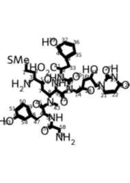 CSCC[C@H](N)C(=O)CC(C(N)C(=O)N(/C=C1\CC(O)C(n2ccc(=O)[nH]c2=O)O1)C(=O)NC(Cc1cccc(O)c1)C(=O)O)N(C)C(=O)[C@H](Cc1cccc(O)c1)NC(=O)CN